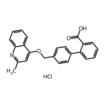 Cc1cc(OCc2ccc(-c3ccccc3C(=O)O)cc2)c2ccccc2n1.Cl